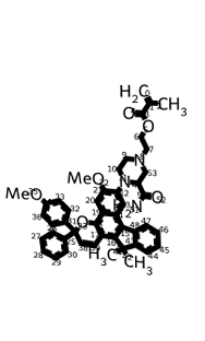 C=C(C)C(=O)OCCN1CCN(c2cc3c4c(c5c(c3cc2OC)OC(c2ccccc2)(c2ccc(OC)cc2)C=C5)C(C)(C)c2ccccc2-4)C(C(N)=O)C1